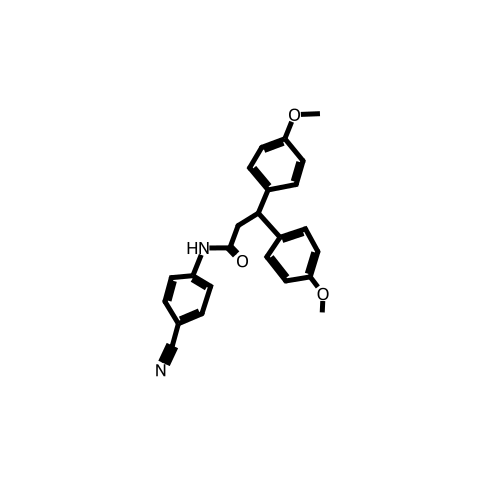 COc1ccc(C(CC(=O)Nc2ccc(C#N)cc2)c2ccc(OC)cc2)cc1